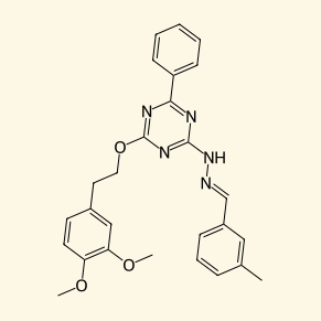 COc1ccc(CCOc2nc(N/N=C/c3cccc(C)c3)nc(-c3ccccc3)n2)cc1OC